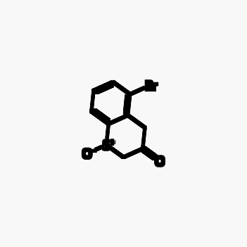 O=C1Cc2c(Br)cccc2[S+]([O-])C1